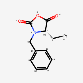 CC(C)C[C@H]1C(=O)OC(=O)N1Cc1ccccc1